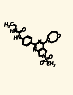 CCNC(=O)Nc1ccc(-c2nc3c(c(N4CCCOCC4)n2)CN(S(C)(=O)=O)C3)cc1